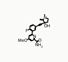 C=C1N(C)CC[C@@]1(O)C#Cc1ccc(F)c(-c2cc(OC)cc(C(N)=O)n2)c1